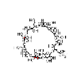 CC(C)CCC1OC2OC(CO)C(OC3OC(CO)C(OC(O)C(O)C(O)C(CCO)OC4OC(CO)C(OC(O)/C(O)=C(\O)C(CCO)OC(O)C(O)C(O)C(CCO)OC(O)C(O)C(O)C(CCO)OC(O)/C(O)=C/1O)C(O)C4O)C(O)C3O)C(O)C2O